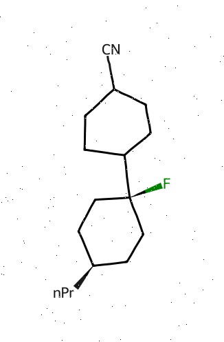 CCC[C@H]1CC[C@](F)(C2CCC(C#N)CC2)CC1